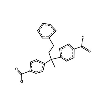 CC(CCc1ccccc1)(c1ccc(C(=O)Cl)cc1)c1ccc(C(=O)Cl)cc1